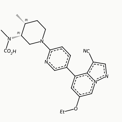 CCOc1cc(-c2ccc(N3CC[C@@H](C)[C@@H](N(C)C(=O)O)C3)nc2)c2c(C#N)cnn2c1